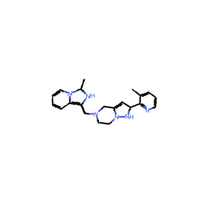 Cc1cccnc1C1C=C2CN(CC3=C4C=CC=CN4C(C)N3)CCN2N1